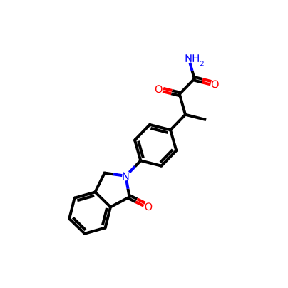 CC(C(=O)C(N)=O)c1ccc(N2Cc3ccccc3C2=O)cc1